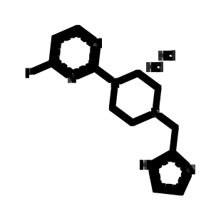 Cl.Cl.Fc1ccnc(N2CCN(Cc3ncc[nH]3)CC2)n1